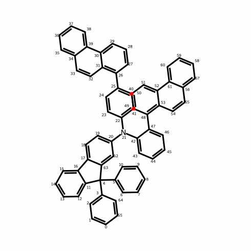 c1ccc(C2(c3ccccc3)c3ccccc3-c3ccc(N(c4ccc(-c5cccc6c5ccc5ccccc56)cc4)c4ccccc4-c4cccc5c4ccc4ccccc45)cc32)cc1